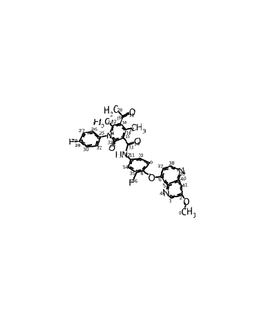 COc1cnc2c(Oc3ccc(NC(=O)c4c(C)c(C(C)=O)c(C)n(-c5ccc(F)cc5)c4=O)cc3F)ccnc2c1